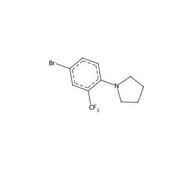 FC(F)(F)c1cc(Br)ccc1N1CCCC1